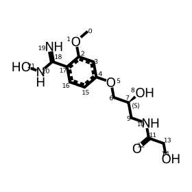 COc1cc(OC[C@@H](O)CNC(=O)CO)ccc1C(=N)NO